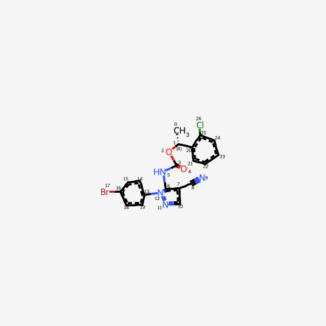 C[C@@H](OC(=O)Nc1c(C#N)cnn1-c1ccc(Br)cc1)c1ccccc1Cl